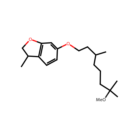 COC(C)(C)CCCC(C)CCOc1ccc2c(c1)OCC2C